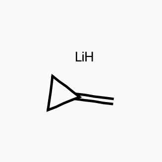 C=C1CC1.[LiH]